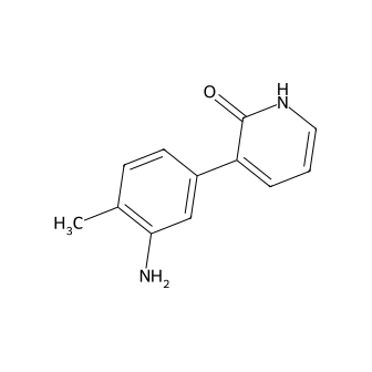 Cc1ccc(-c2ccc[nH]c2=O)cc1N